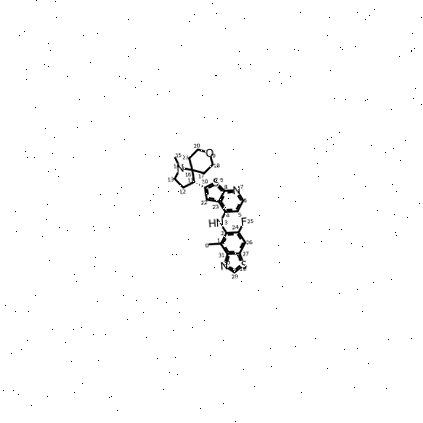 Cc1c(Nc2ccnc3sc([C@@H]4CCN(C)C45CCOCC5)cc23)c(F)cc2scnc12